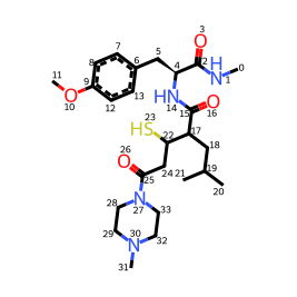 CNC(=O)[C@H](Cc1ccc(OC)cc1)NC(=O)C(CC(C)C)C(S)CC(=O)N1CCN(C)CC1